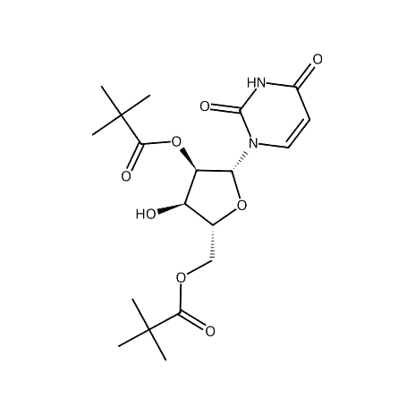 CC(C)(C)C(=O)OC[C@H]1O[C@@H](n2ccc(=O)[nH]c2=O)[C@H](OC(=O)C(C)(C)C)[C@@H]1O